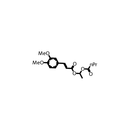 CCCC(=O)OC(C)OC(=O)/C=C/c1ccc(OC)c(OC)c1